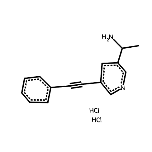 CC(N)c1cncc(C#Cc2ccccc2)c1.Cl.Cl